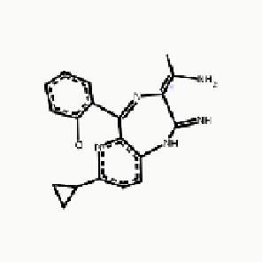 C/C(N)=C1\N=C(c2ccccc2Cl)c2nc(C3CC3)ccc2NC1=N